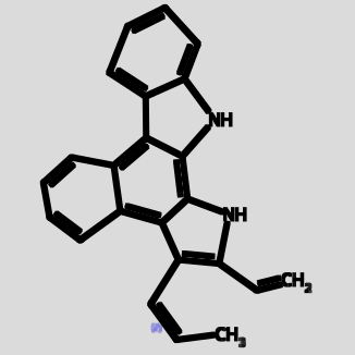 C=Cc1[nH]c2c3[nH]c4ccccc4c3c3ccccc3c2c1/C=C\C